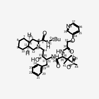 CC(C)(C)NC(=O)[C@@H]1C[C@@H]2CCCC[C@@H]2CN1C[C@@H](O)[C@H](Cc1ccccc1)NC(=O)[C@@H](NC(=O)COc1cccnc1)C(C)(C)S(C)(=O)=O